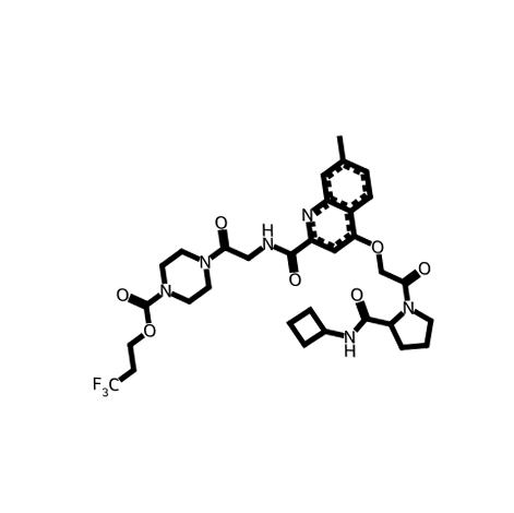 Cc1ccc2c(OCC(=O)N3CCCC3C(=O)NC3CCC3)cc(C(=O)NCC(=O)N3CCN(C(=O)OCCC(F)(F)F)CC3)nc2c1